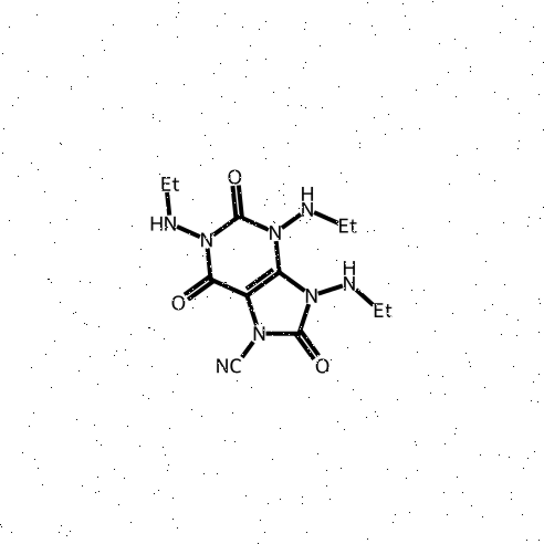 CCNn1c(=O)c2c(n(NCC)c1=O)n(NCC)c(=O)n2C#N